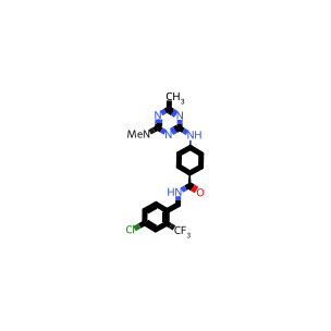 CNc1nc(C)nc(N[C@H]2CC[C@H](C(=O)NCc3ccc(Cl)cc3C(F)(F)F)CC2)n1